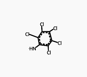 [NH]c1c(Cl)c(Cl)c(Cl)c(Cl)c1Cl